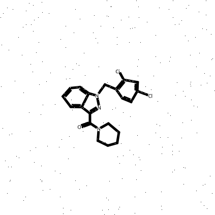 O=C(c1nn(Cc2ccc(Cl)cc2Cl)c2ccccc12)N1CCCCC1